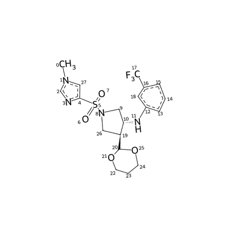 Cn1cnc(S(=O)(=O)N2C[C@H](Nc3cccc(C(F)(F)F)c3)[C@@H](C3OCCCO3)C2)c1